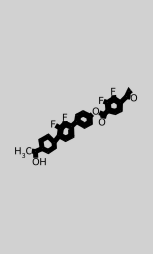 CC(O)C1CCC(c2ccc(-c3ccc(OC(=O)c4ccc(C5CO5)c(F)c4F)cc3)c(F)c2F)CC1